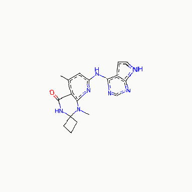 Cc1cc(Nc2ncnc3[nH]ccc23)nc2c1C(=O)NC1(CCC1)N2C